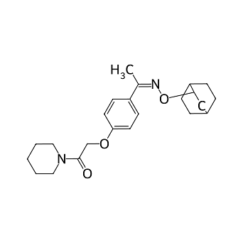 CC(=NOC1CC2CCC1CC2)c1ccc(OCC(=O)N2CCCCC2)cc1